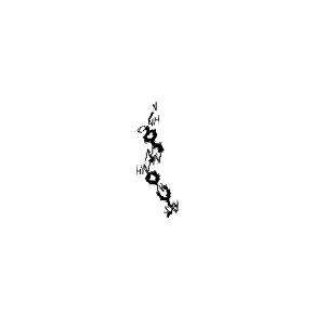 Cc1nnc(C2CCN(c3ccc(Nc4nccc(-c5ccc(C(=O)NCC#N)cc5)n4)cc3)CC2)s1